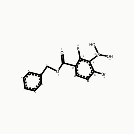 O=C(OCc1ccccc1)c1ccc(Br)c(B(O)O)c1F